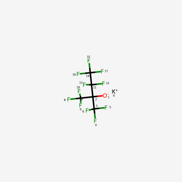 [K+].[O-]C(C(F)(F)F)(C(F)(F)F)C(F)(F)C(F)(F)F